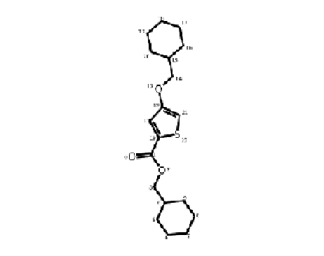 O=C(OCC1CCCCC1)c1cc(OCC2CCCCC2)cs1